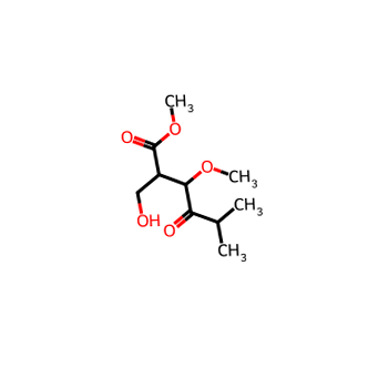 COC(=O)C(CO)C(OC)C(=O)C(C)C